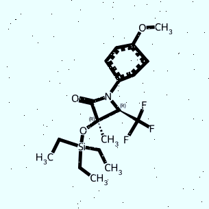 CC[Si](CC)(CC)O[C@@]1(C)C(=O)N(c2ccc(OC)cc2)[C@H]1C(F)(F)F